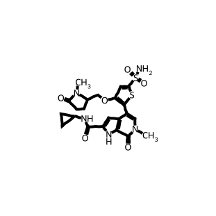 CN1C(=O)CCC1COc1cc(S(N)(=O)=O)sc1-c1cn(C)c(=O)c2[nH]c(C(=O)NC3CC3)cc12